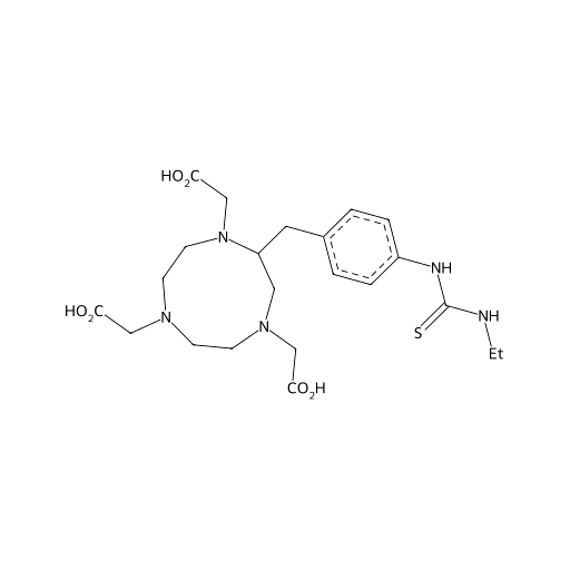 CCNC(=S)Nc1ccc(CC2CN(CC(=O)O)CCN(CC(=O)O)CCN2CC(=O)O)cc1